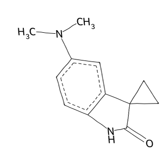 CN(C)c1ccc2c(c1)C1(CC1)C(=O)N2